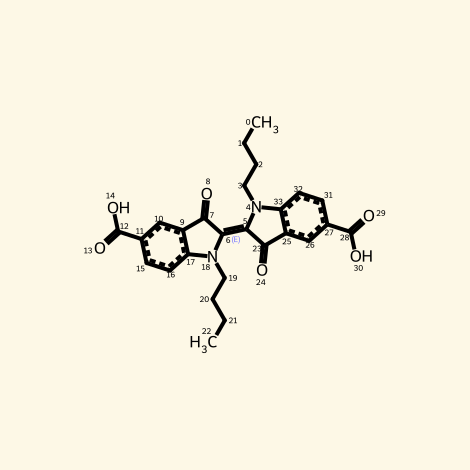 CCCCN1/C(=C2\C(=O)c3cc(C(=O)O)ccc3N2CCCC)C(=O)c2cc(C(=O)O)ccc21